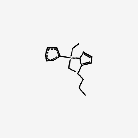 CCCCC1=CC=C[C]1[Si](CC)(CC)c1ccccc1